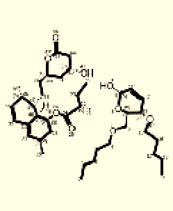 CCCCCOC[C@H]1O[C@H](O)C=C[C@@H]1OCCCCC.CC[C@H](C)C(=O)O[C@H]1C[C@@H](C)C=C2C=C[C@H](C)[C@H](CC[C@@H]3C[C@@H](O)CC(=O)O3)[C@H]21